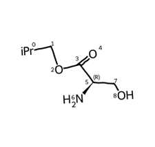 CC(C)COC(=O)[C@H](N)CO